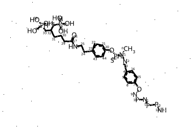 CN(N=Cc1ccc(O/N=P\N=P\P=N)cc1)[PH](=S)Oc1ccc(CCNC(=O)CCCC(C[PH](O)(O)O)C[PH](O)(O)O)cc1